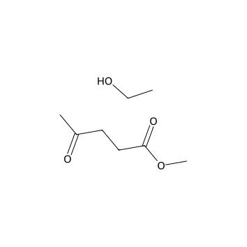 CCO.COC(=O)CCC(C)=O